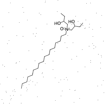 CCCCCCCCCCCCCCCCC[N+]([O-])(CC(O)CC)CC(O)CC